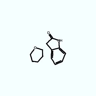 C1CCOCC1.O=C1Cc2ccccc2N1